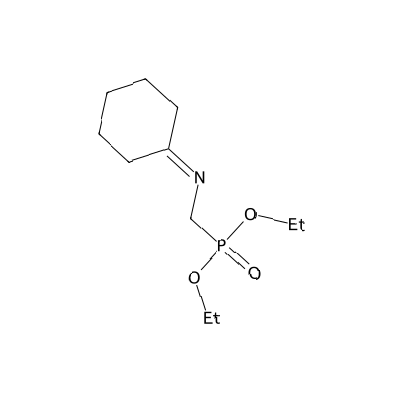 CCOP(=O)(CN=C1CCCCC1)OCC